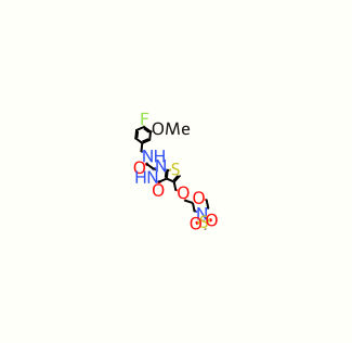 COc1cc(CNC(=O)c2nc3scc(COCC4CN(S(C)(=O)=O)CCO4)c3c(=O)[nH]2)ccc1F